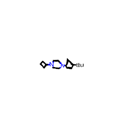 CC(C)(C)c1ccc(N2CCN(C3CCC3)CC2)cc1